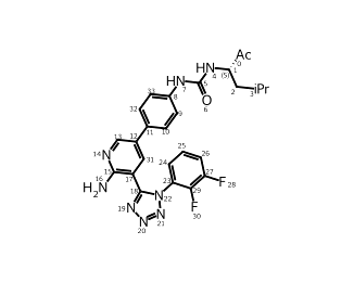 CC(=O)[C@H](CC(C)C)NC(=O)Nc1ccc(-c2cnc(N)c(-c3nnnn3-c3cccc(F)c3F)c2)cc1